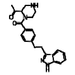 CC(=O)C1CNCCN1C(=O)c1ccc(C=Cc2n[nH]c3ccccc23)cc1